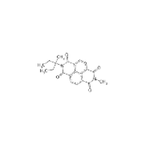 CCC(C)(CC)N1C(=O)c2ccc3c4c(ccc(c24)C1=O)C(=O)N(C)C3=O